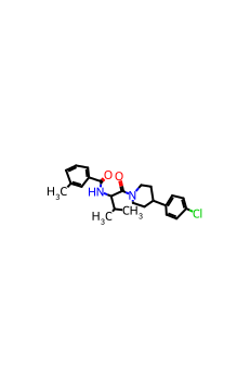 Cc1cccc(C(=O)NC(C(=O)N2CCC(c3ccc(Cl)cc3)CC2)C(C)C)c1